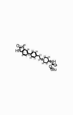 Cn1c(=O)[nH]c2ccc(-c3ccc(CCN4CCC(NC(=O)OC(C)(C)C)CC4)cc3)cc21